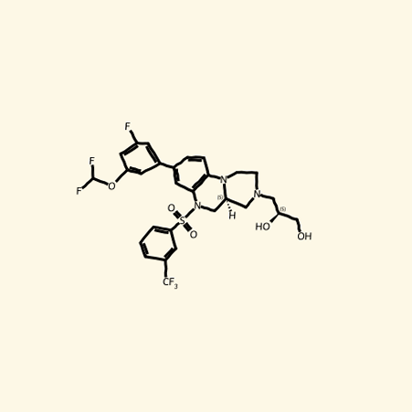 O=S(=O)(c1cccc(C(F)(F)F)c1)N1C[C@@H]2CN(C[C@H](O)CO)CCN2c2ccc(-c3cc(F)cc(OC(F)F)c3)cc21